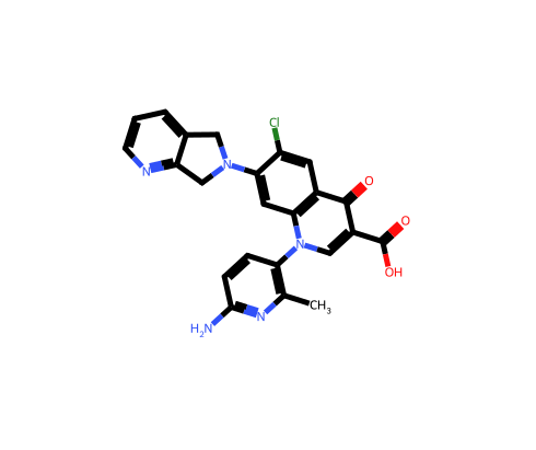 Cc1nc(N)ccc1-n1cc(C(=O)O)c(=O)c2cc(Cl)c(N3Cc4cccnc4C3)cc21